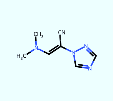 CN(C)C=C(C#N)n1cncn1